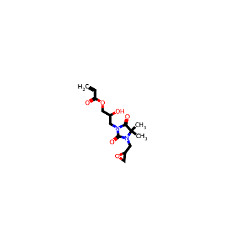 C=CC(=O)OCC(O)CN1C(=O)N(CC2CO2)C(C)(C)C1=O